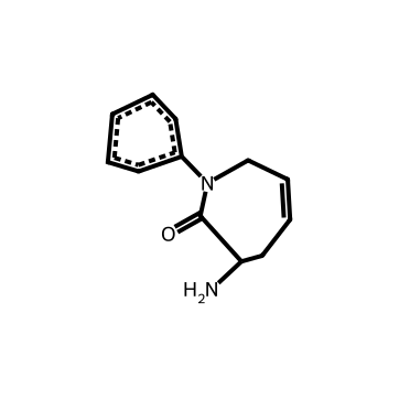 NC1CC=CCN(c2ccccc2)C1=O